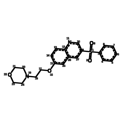 O=S(=O)(c1ccccc1)c1cnc2ccc(OCCN3CCOCC3)cc2c1